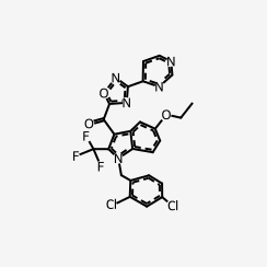 CCOc1ccc2c(c1)c(C(=O)c1nc(-c3ccncn3)no1)c(C(F)(F)F)n2Cc1ccc(Cl)cc1Cl